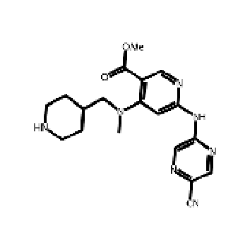 COC(=O)c1cnc(Nc2cnc(C#N)cn2)cc1N(C)CC1CCNCC1